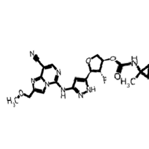 COCc1cn2c(Nc3cc([C@H]4OC[C@@H](OC(=O)NC5(C)CC5)[C@@H]4F)[nH]n3)ncc(C#N)c2n1